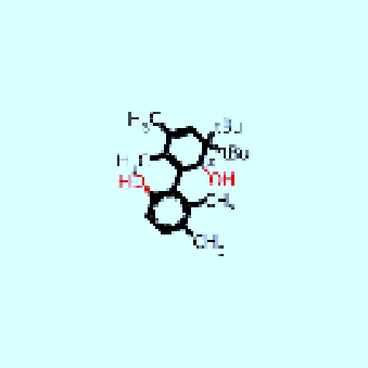 CC1=CC(C(C)(C)C)(C(C)(C)C)[C@H](O)C(c2c(O)ccc(C)c2C)=C1C